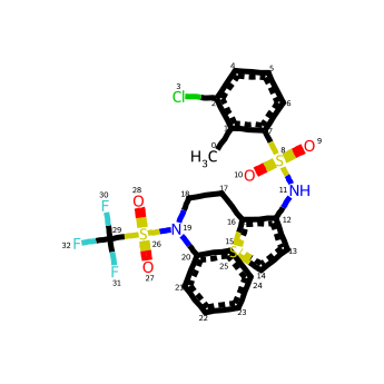 Cc1c(Cl)cccc1S(=O)(=O)Nc1ccsc1CCN(c1ccccc1)S(=O)(=O)C(F)(F)F